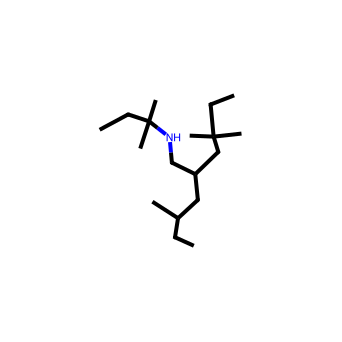 CCC(C)CC(CNC(C)(C)CC)CC(C)(C)CC